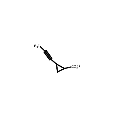 CC#CC1CC1C(=O)O